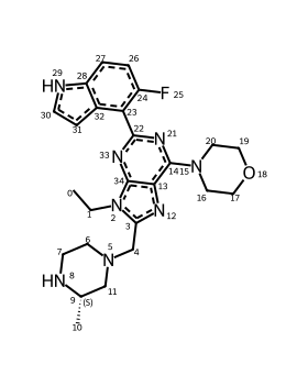 CCn1c(CN2CCN[C@@H](C)C2)nc2c(N3CCOCC3)nc(-c3c(F)ccc4[nH]ccc34)nc21